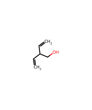 C=CC(C=C)CO